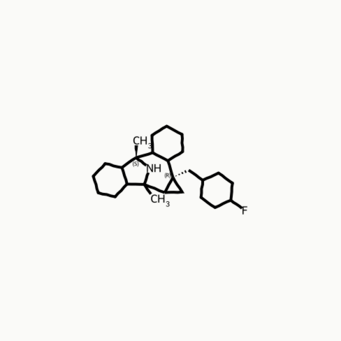 CC12N[C@](C)(C3CCCCC31)C1CCCCC1[C@@]1(CC3CCC(F)CC3)CC21